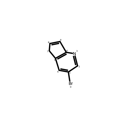 Brc1cnc2c(c1)CC=C2